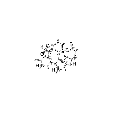 C=C/C=C\C(=C/N)C(=C)/C=c1\c(=C/N)[nH]c2ncc(F)c(-c3cccc(NS(C)(=O)=O)c3)c12